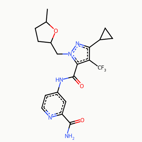 CC1CCC(Cn2nc(C3CC3)c(C(F)(F)F)c2C(=O)Nc2ccnc(C(N)=O)c2)O1